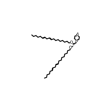 CCCCCC=CCC=CCCCCCCCCOC[C@@H](CN1CCN(C)CC1)OCCCCCCCCC=CCC=CCCCCC